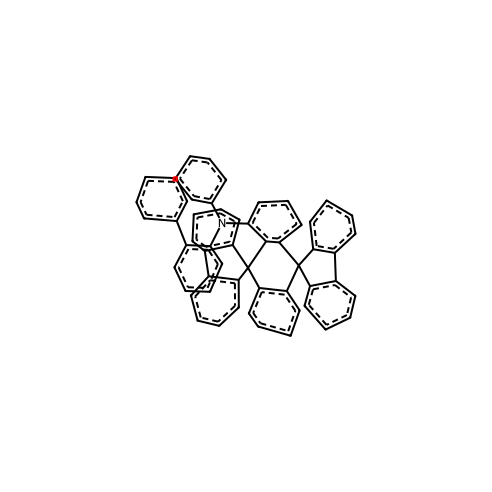 c1ccc(-c2ccccc2N(c2ccccc2)c2cccc3c2C2(c4ccccc4-c4ccccc42)c2ccccc2C32c3ccccc3-c3ccccc32)cc1